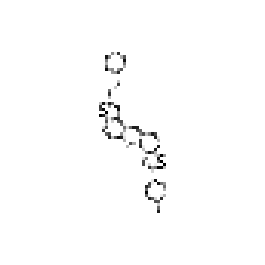 Cc1ccc(-c2cc3c(ccc4cc5c(ccc6sc(CCc7ccccc7)cc65)cc43)s2)cc1